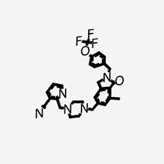 Cc1cc(CN2CCN(Cc3ncccc3C#N)CC2)cc2c1C(=O)N(Cc1ccc(OC(F)(F)F)cc1)C2